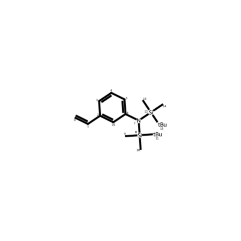 C=Cc1cccc(N([Si](C)(C)C(C)(C)C)[Si](C)(C)C(C)(C)C)c1